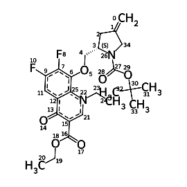 C=C1C[C@@H](COc2c(F)c(F)cc3c(=O)c(C(=O)OCC)cn(CC)c23)N(C(=O)OC(C)(C)C)C1